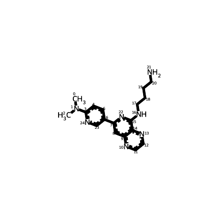 CN(C)c1ccc(-c2cc3nccnc3c(NCCCCN)n2)cn1